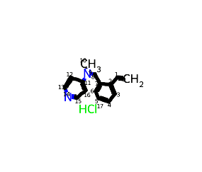 C=Cc1ccccc1CN(C)c1ccncc1.Cl